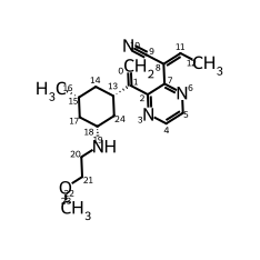 C=C(c1nccnc1/C(C#N)=C\C)[C@H]1C[C@@H](C)C[C@@H](NCCOC)C1